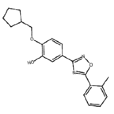 Cc1ccccc1-c1nc(-c2ccc(OCC3CCCC3)c(O)c2)no1